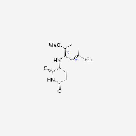 CO/C(C)=C(/C=C(\C)C(C)(C)C)NC1CCC(=O)NC1=O